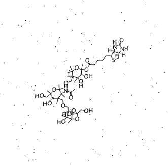 CC(=O)NC1(C)C(C)(COC[C@]2(C)C(C)(C)OC(C)(OC(=O)CCCCC3SC[C@@H]4NC(=O)N[C@H]34)C(O)C2(C)O)OC(C)(CO)[C@@H](O)C1(C)COC[C@]1(C)OC2(CO)OC(C)(C1(C)O)[C@@]2(C)O